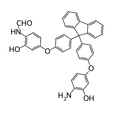 Nc1ccc(Oc2ccc(C3(c4ccc(Oc5ccc(NC=O)c(O)c5)cc4)c4ccccc4-c4ccccc43)cc2)cc1O